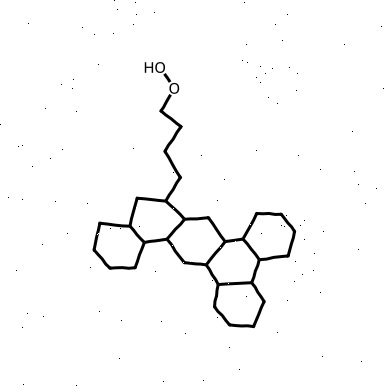 OOCCCCC1CC2CCCCC2C2CC3C4CCCCC4C4CCCCC4C3CC12